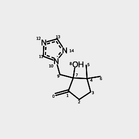 C=C1CCC(C)(C)C1(O)Cn1cncn1